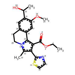 CCOC(=O)c1c(-c2nccs2)c(C)n2c1-c1cc(OC)c(C(C)O)cc1CC2